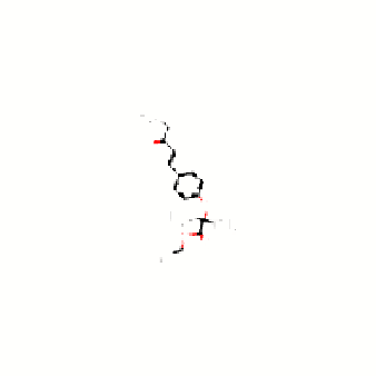 CCOC(=O)C(C)(C)Oc1ccc(/C=C/C(=O)CC)cc1